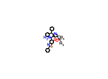 CC(C)OOc1cc2sc(-c3ccccc3)nc2cc1C(N)C1C2CCN(C2)C1C(c1ccccc1)c1ccccc1